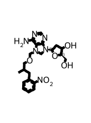 CC(COCN1CN([C@H]2CC(O)[C@@H](CO)O2)c2ncnc(N)c21)Cc1ccccc1[N+](=O)[O-]